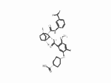 COc1cc(F)c(O[C@H]2CC[C@@H](C(=O)O)CC2)cc1C(=O)N[C@@H]1[C@H]2CC[C@H](C2)[C@@H]1C(=O)Nc1cccc(C(F)F)c1